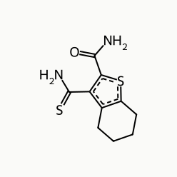 NC(=O)c1sc2c(c1C(N)=S)CCCC2